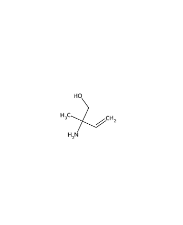 C=CC(C)(N)CO